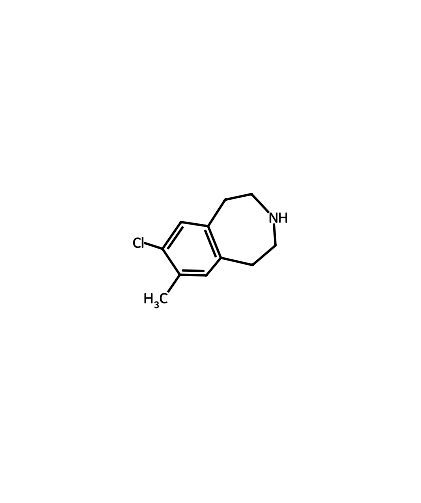 Cc1cc2c(cc1Cl)CCNCC2